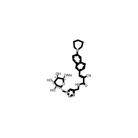 CO[C@H]1O[C@H](Cn2cc(CNC(=O)/C(C#N)=C/c3ccc4cc(N5CCCCC5)ccc4c3)nn2)[C@@H](O)[C@H](O)[C@H]1O